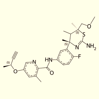 C#C[C@H](C)Oc1cnc(C(=O)Nc2ccc(F)c([C@@]3(C)N=C(N)S[C@](C)(COC)C3C)c2)c(C)c1